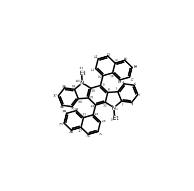 CCn1c2ccccc2c2c(-c3cccc4ccccc34)c3c(c(-c4cccc5ccccc45)c21)c1ccccc1n3CC